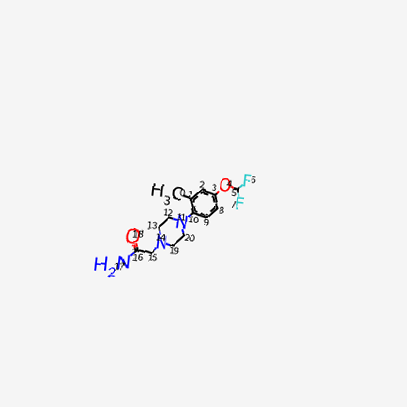 Cc1cc(OC(F)F)ccc1N1CCN(CC(N)=O)CC1